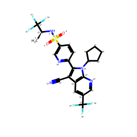 C[C@H](NS(=O)(=O)c1ccc(-c2c(C#N)c3cc(C(F)(F)F)cnc3n2C2CCCC2)nc1)C(F)(F)F